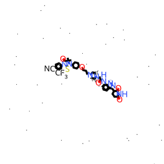 C[C@@H]1CN(CCCO[C@H]2CC[C@H](N3C(=S)N(c4ccc(C#N)c(C(F)(F)F)c4)C(=O)C3(C)C)CC2)C[C@H](C)N1CC(=O)Nc1cccc2c(C3CCC(=O)NC3=O)nn(C)c12